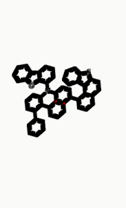 c1ccc(-c2cccc(N(c3ccc(-c4cccc5ccc6sc7ccccc7c6c45)cc3)c3cccc4c3oc3ccccc34)c2-c2ccccc2)cc1